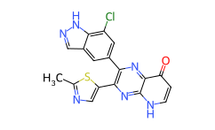 Cc1ncc(-c2nc3[nH]ccc(=O)c3nc2-c2cc(Cl)c3[nH]ncc3c2)s1